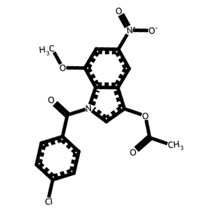 COc1cc([N+](=O)[O-])cc2c(OC(C)=O)cn(C(=O)c3ccc(Cl)cc3)c12